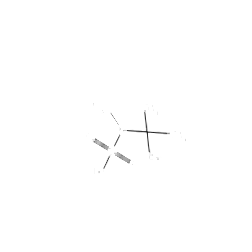 CN(C(C)(C)C(C)(C)C)S(=O)(=O)C(C)(C)C